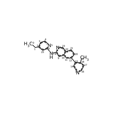 CCc1ccnc(Nc2cc3cc(-c4cnccc4C)ccc3cn2)c1